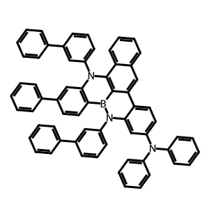 c1ccc(-c2cccc(N3B4c5ccc(-c6ccccc6)cc5N(c5cccc(-c6ccccc6)c5)c5c4c(cc4ccccc54)-c4ccc(N(c5ccccc5)c5ccccc5)cc43)c2)cc1